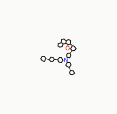 c1ccc(-c2ccc(-c3ccc(N(c4ccc(-c5ccccc5)cc4)c4ccc(-c5cccc6c5oc5c6ccc6ccc7ccccc7c65)cc4)cc3)cc2)cc1